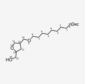 CCCCCCCCCCCCCCCCCCOCC1COC(CO)C1